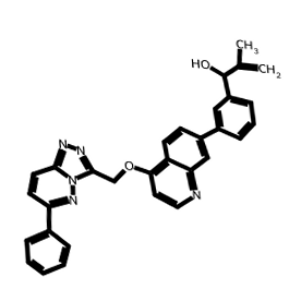 C=C(C)C(O)c1cccc(-c2ccc3c(OCc4nnc5ccc(-c6ccccc6)nn45)ccnc3c2)c1